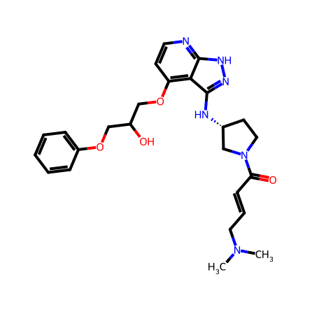 CN(C)C/C=C/C(=O)N1CC[C@@H](Nc2n[nH]c3nccc(OCC(O)COc4ccccc4)c23)C1